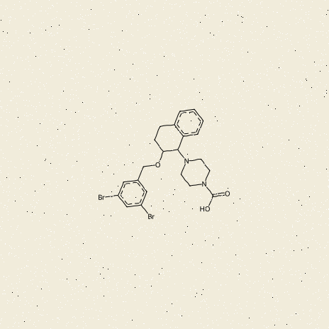 O=C(O)N1CCN(C2c3ccccc3CCC2OCc2cc(Br)cc(Br)c2)CC1